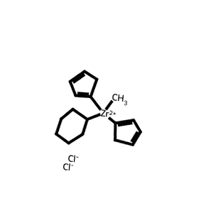 [CH3][Zr+2]([C]1=CC=CC1)([C]1=CC=CC1)[CH]1CCCCC1.[Cl-].[Cl-]